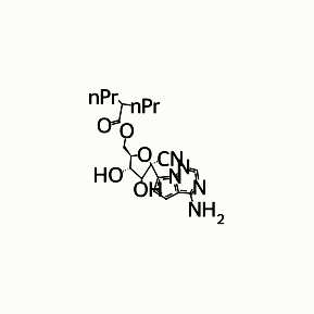 CCCC(CCC)C(=O)OC[C@H]1O[C@@](C#N)(c2ccc3c(N)ncnn23)[C@H](O)[C@@H]1O